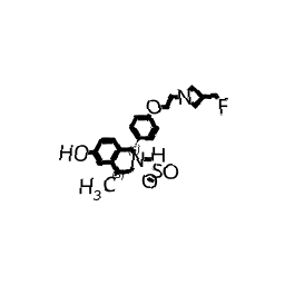 C[C@@H]1CN(C[SH](=O)=O)[C@@H](c2ccc(OCCN3CC(CF)C3)cc2)c2ccc(O)cc21